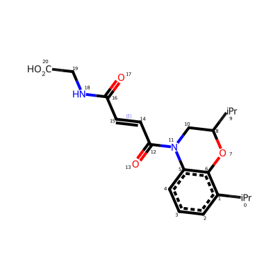 CC(C)c1cccc2c1OC(C(C)C)CN2C(=O)/C=C/C(=O)NCC(=O)O